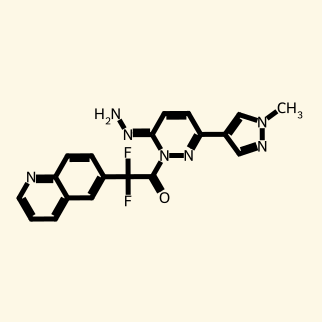 Cn1cc(-c2cc/c(=N\N)n(C(=O)C(F)(F)c3ccc4ncccc4c3)n2)cn1